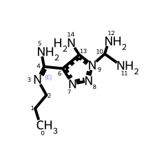 CCC/N=C(/N)c1nnn(C(N)N)c1N